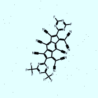 N#CC(C#N)=C1C(c2nc(F)nc(F)n2)=C(C#N)c2c(C#N)c3c(c(C#N)c21)C(=C(C#N)C#N)C(c1nc(C(F)(F)F)nc(C(F)(F)F)n1)=C3C#N